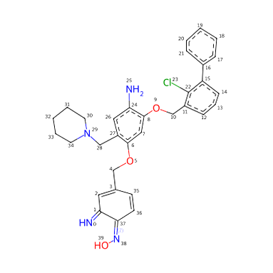 N=C1C=C(COc2cc(OCc3cccc(-c4ccccc4)c3Cl)c(N)cc2CN2CCCCC2)C=C/C1=N/O